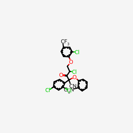 N#CC(Oc1ccccc1[N+](=O)[O-])(C(=O)C(Cl)COc1ccc(C(F)(F)F)cc1Cl)c1ccc(Cl)cc1Cl